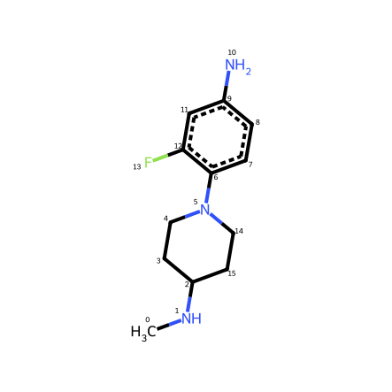 CNC1CCN(c2ccc(N)cc2F)CC1